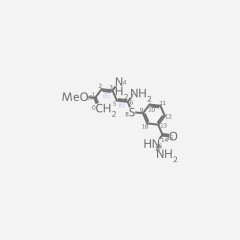 C=C(/C=C(N)\C=C(/N)Sc1cccc(C(=O)NN)c1)OC